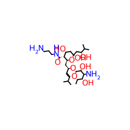 CC(C)/C=C/[C@@H](C[C@@H]1O[C@](O)(C[C@@H](O)C(C)C)C[C@H](O)[C@H]1C(=O)NCCCN)OC1OC(C)C(O)C(N)C1O